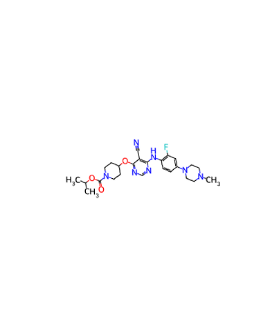 CC(C)OC(=O)N1CCC(Oc2ncnc(Nc3ccc(N4CCN(C)CC4)cc3F)c2C#N)CC1